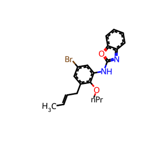 CC=CCc1cc(Br)cc(Nc2nc3ccccc3o2)c1OCCC